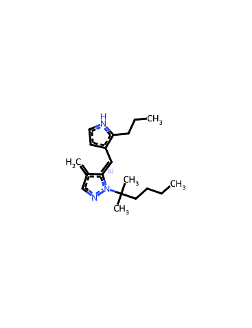 C=c1cnn(C(C)(C)CCCC)/c1=C/c1cc[nH]c1CCC